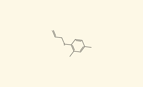 [CH]=CCSc1ccc(C)cc1C